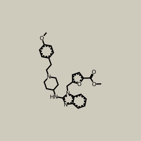 COC(=O)c1ccc(Cn2c(NC3CCN(CCc4ccc(OC)cc4)CC3)nc3ccccc32)o1